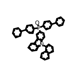 O=P(c1ccc(-c2ccccc2)cc1)(c1ccc(-c2ccccc2)cc1)c1ccc2c(c1)c1ccccc1n2-c1cccc2ccccc12